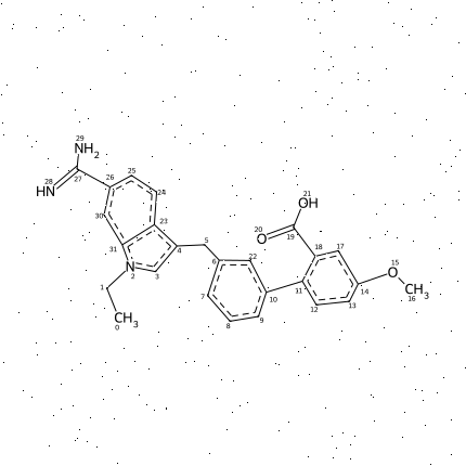 CCn1cc(Cc2cccc(-c3ccc(OC)cc3C(=O)O)c2)c2ccc(C(=N)N)cc21